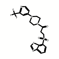 O=C(CCS(=O)(=O)c1cccc2ncsc12)N1CCN(c2ccnc(C(F)(F)F)c2)CC1